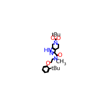 CN(CCOc1ccccc1C(C)(C)C)C(=O)c1n[nH]c2c1CCN(C(=O)OC(C)(C)C)C2